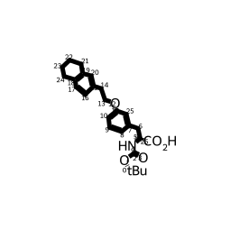 CC(C)(C)OC(=O)N[C@@H](Cc1cccc(OCCc2ccc3c(c2)CCCC3)c1)C(=O)O